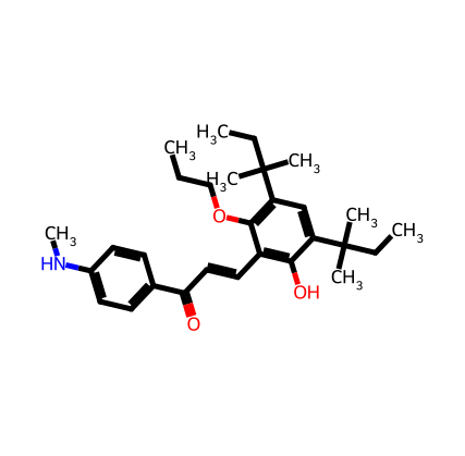 CCCOc1c(C(C)(C)CC)cc(C(C)(C)CC)c(O)c1/C=C/C(=O)c1ccc(NC)cc1